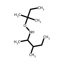 CCC(C)C(C)NOC(C)(C)CC